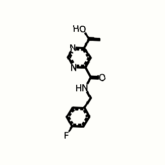 C=C(O)c1cc(C(=O)NCc2ccc(F)cc2)ncn1